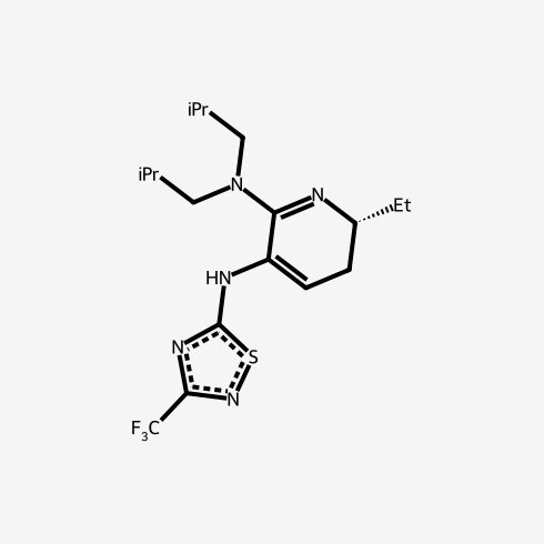 CC[C@@H]1CC=C(Nc2nc(C(F)(F)F)ns2)C(N(CC(C)C)CC(C)C)=N1